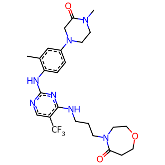 Cc1cc(N2CCN(C)C(=O)C2)ccc1Nc1ncc(C(F)(F)F)c(NCCCN2CCOCCC2=O)n1